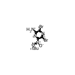 CC(C)(C)/N=[N+](\[O-])c1nc(N)c(Br)nc1Br